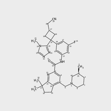 C[C@H]1CCCN(Cc2cc(C(=O)Nc3cc(F)cc(C4(c5nncn5C)CC(CC#N)C4)c3)nc3c2CCC3(C)C)C1